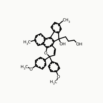 COc1ccc(C2(c3ccc(OC)cc3)C=Cc3c4c(c5ccc(C)cc5c3O2)-c2ccc(C)cc2C4(O)CCCO)cc1